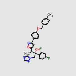 Cc1ccc(COc2ccc(-c3cc([C@H](C)[C@](O)(Cn4cncn4)c4ccc(F)cc4F)on3)cc2)cc1